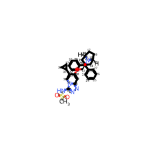 CS(=O)(=O)Nc1nnc2cc(OC[C@@H]3C[C@H]4CC[C@@H](C3)N4C(c3ccccc3)c3ccccc3)c(C3CC3)cn12